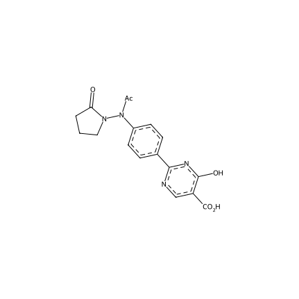 CC(=O)N(c1ccc(-c2ncc(C(=O)O)c(O)n2)cc1)N1CCCC1=O